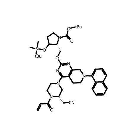 C=CC(=O)N1CCN(c2nc(OC[C@@H]3C(O[Si](C)(C)C(C)(C)C)CCN3C(=O)OC(C)(C)C)nc3c2CCN(c2cccc4ccccc24)C3)C[C@@H]1CC#N